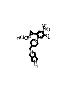 COc1cc(N2CCC(CN3CC4CNCC4C3)CC2)c(C2CC2)cc1[N+](=O)[O-].Cl.Cl